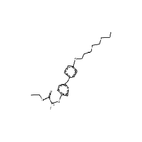 CCCCCCCCSc1ccc(-c2ccc(S[C@H](C)C(=O)OCC)cc2)cc1